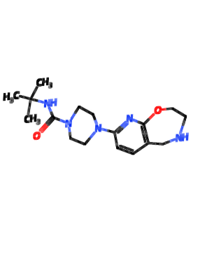 CC(C)(C)NC(=O)N1CCN(c2ccc3c(n2)OCCNC3)CC1